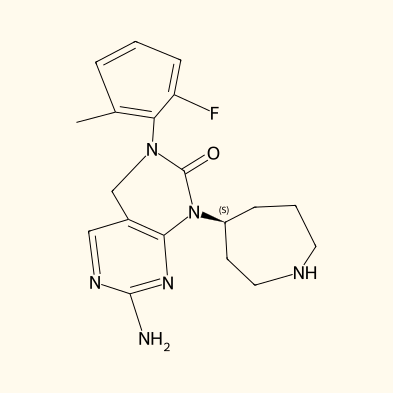 Cc1cccc(F)c1N1Cc2cnc(N)nc2N([C@H]2CCCNCC2)C1=O